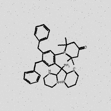 CC1(C)CC(=O)CC(C)(C)P1c1cc(Cc2ccccc2)c(Cc2ccccc2)cc1C(P)(C1NCCCN1)C1NCCCN1